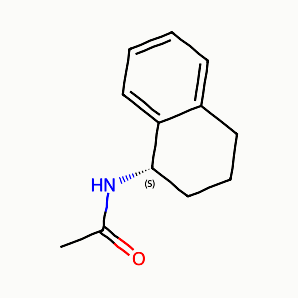 CC(=O)N[C@H]1CCCc2ccccc21